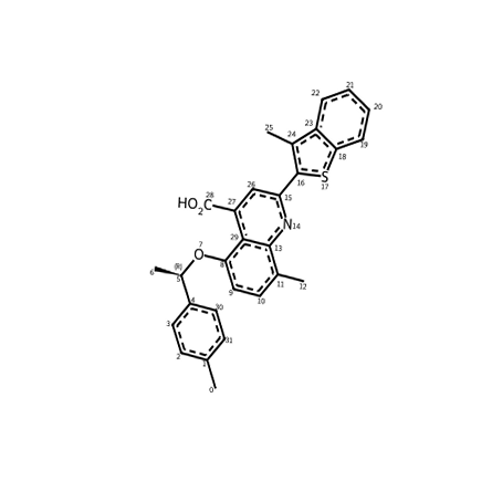 Cc1ccc([C@@H](C)Oc2ccc(C)c3nc(-c4sc5ccccc5c4C)cc(C(=O)O)c23)cc1